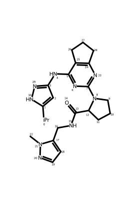 CC(C)c1cc(Nc2nc(N3CCCC3C(=O)NCc3ccnn3C)nc3c2CCC3)n[nH]1